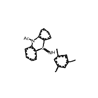 CC(=O)N1c2ccccc2S(=N)c2ccccc21.Cc1cc(C)cc(C)c1